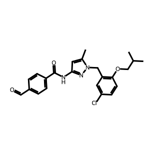 Cc1cc(NC(=O)c2ccc(C=O)cc2)nn1Cc1cc(Cl)ccc1OCC(C)C